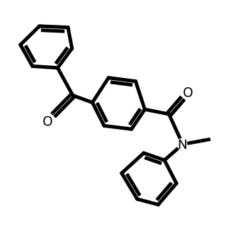 CN(C(=O)c1ccc(C(=O)c2ccccc2)cc1)c1ccccc1